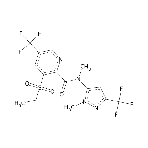 CCS(=O)(=O)c1cc(C(F)(F)F)cnc1C(=O)N(C)c1cc(C(F)(F)F)nn1C